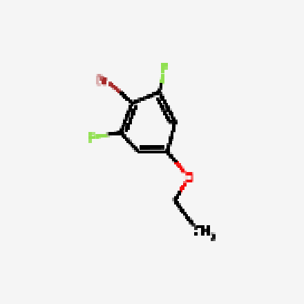 CCOc1cc(F)c(Br)c(F)c1